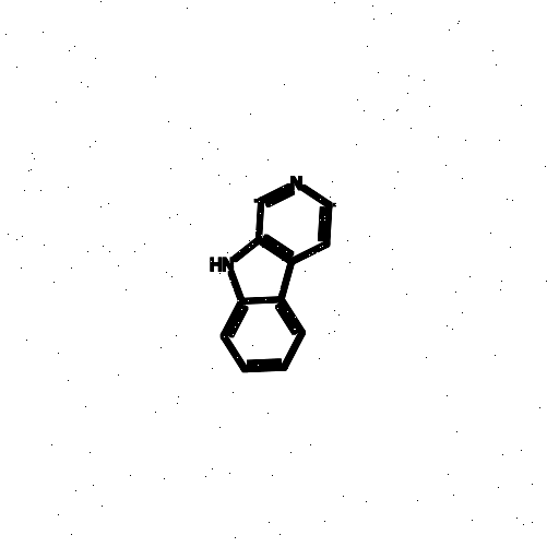 [c]1cc2c([c]n1)[nH]c1ccccc12